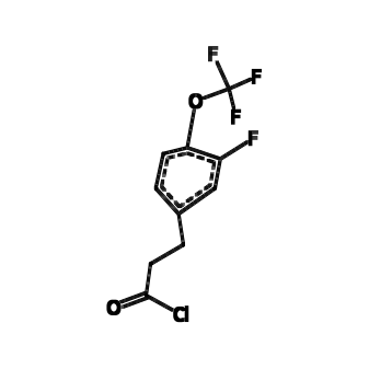 O=C(Cl)CCc1ccc(OC(F)(F)F)c(F)c1